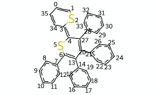 C1=CSC(=C2SC(c3ccccc3)=C(c3ccccc3)C(c3ccccc3)=C2c2ccccc2)C=C1